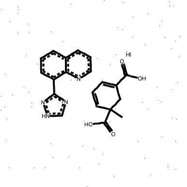 CC1(C(=O)O)C=CC=C(C(=O)O)C1.I.c1cnc2c(-c3nc[nH]n3)cccc2c1